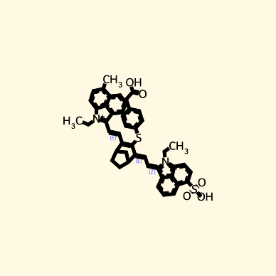 CCn1/c(=C\C=C2C(Sc3ccc(CC(=O)O)cc3)=C(/C=C/C3=[N+](CC)c4ccc(C)c5cccc3c45)C3CCC\2C3)c2cccc3c(S(=O)(=O)O)ccc1c32